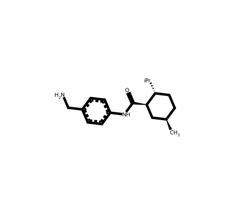 CC(C)[C@@H]1CC[C@@H](C)C[C@H]1C(=O)Nc1ccc(CN)cc1